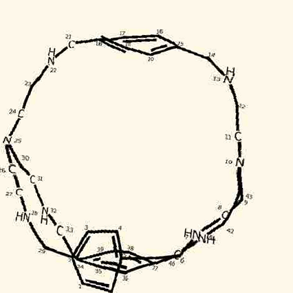 c1cc2ccc1CNCCN1CCNCc3ccc(cc3)CNCCN(CCNC2)CCNCc2ccc(cc2)CNCC1